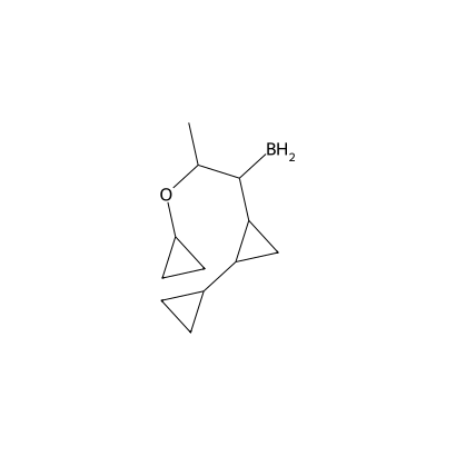 BC(C(C)OC1CC1)C1CC1C1CC1